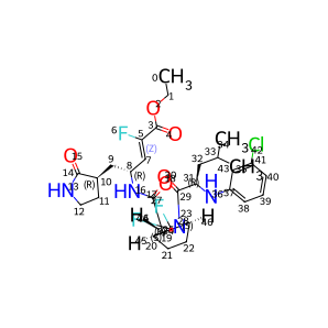 CCOC(=O)/C(F)=C/[C@@H](C[C@H]1CCNC1=O)NC(=O)[C@H]1[C@@H]2CC[C@@H](CC2(F)F)N1C(=O)[C@@H](CC(C)C)Nc1cccc(Cl)c1